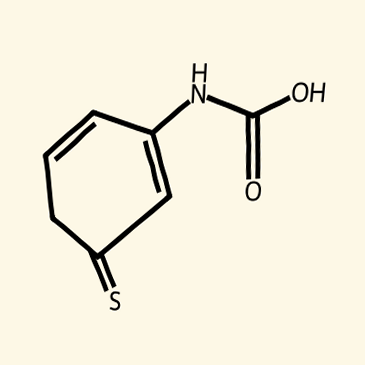 O=C(O)NC1=CC(=S)CC=C1